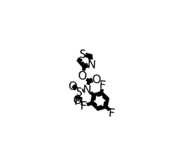 O=C(Oc1cscn1)N(c1c(F)cc(F)cc1F)[SH](=O)=O